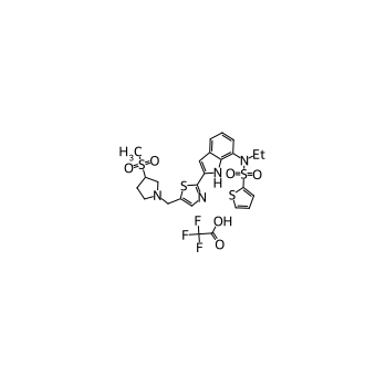 CCN(c1cccc2cc(-c3ncc(CN4CCC(S(C)(=O)=O)C4)s3)[nH]c12)S(=O)(=O)c1cccs1.O=C(O)C(F)(F)F